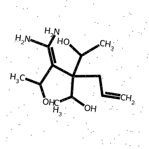 C=CCC(C(=C(N)N)C(C)O)(C(C)O)C(C)O